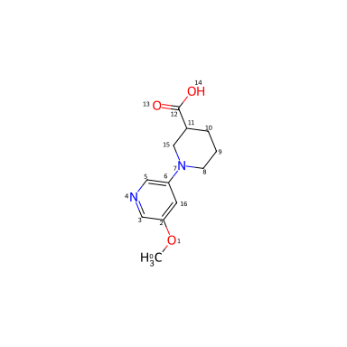 COc1cncc(N2CCCC(C(=O)O)C2)c1